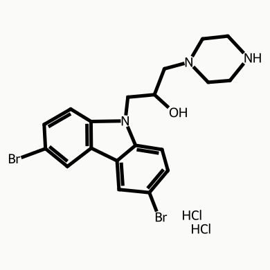 Cl.Cl.OC(CN1CCNCC1)Cn1c2ccc(Br)cc2c2cc(Br)ccc21